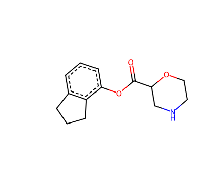 O=C(Oc1cccc2c1CCC2)C1CNCCO1